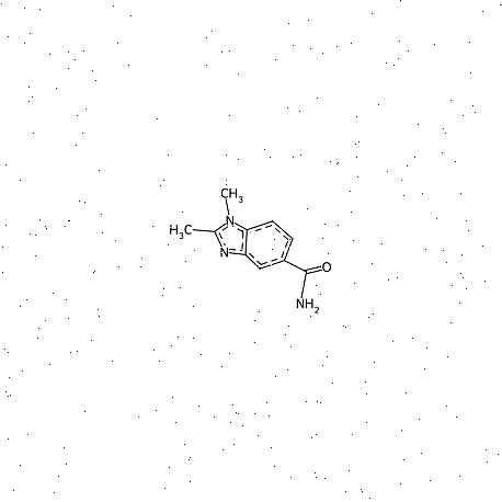 Cc1nc2cc(C(N)=O)ccc2n1C